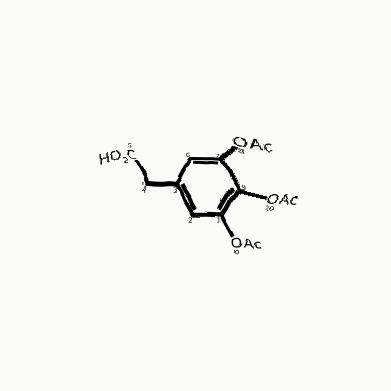 CC(=O)Oc1cc([CH]C(=O)O)cc(OC(C)=O)c1OC(C)=O